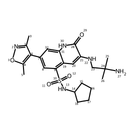 Cc1noc(C)c1-c1cc(S(=O)(=O)NC2CCCC2)c2cc(NCC(C)(C)N)c(=O)[nH]c2c1